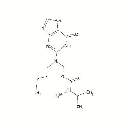 CCCCN(COC(=O)[C@@H](N)C(C)C)c1nc2nc[nH]c2c(=O)[nH]1